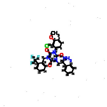 COc1cccc(-n2c(=O)n(Cc3ccccc3C(F)(F)F)c(=O)n(CC(N)c3ccccc3)c2=O)c1Cl